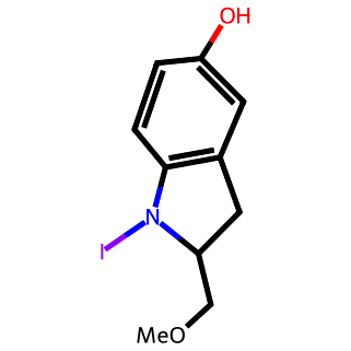 COCC1Cc2cc(O)ccc2N1I